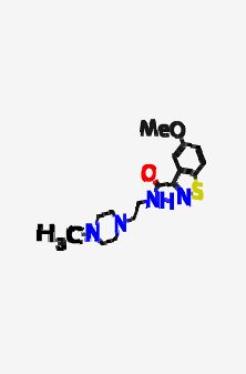 COc1ccc2snc(C(=O)NCCN3CCN(C)CC3)c2c1